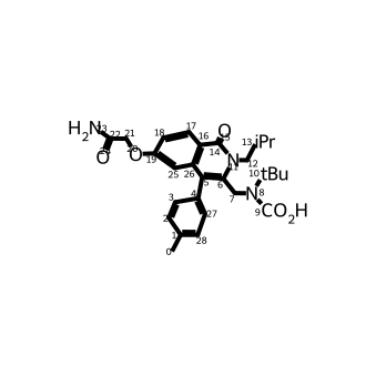 Cc1ccc(-c2c(CN(C(=O)O)C(C)(C)C)n(CC(C)C)c(=O)c3ccc(OCC(N)=O)cc23)cc1